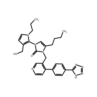 CCCCc1cn(-c2c(CO)ccn2CCC)c(=O)n1Cc1cnccc1-c1ccc(-c2nnn[nH]2)cc1